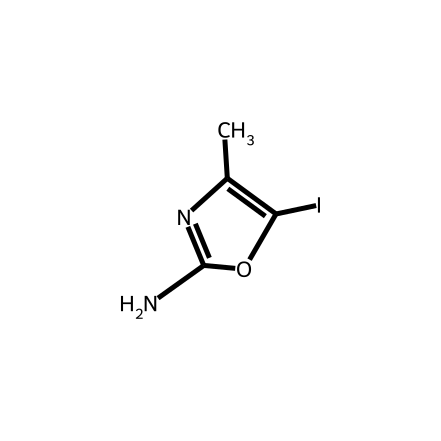 Cc1nc(N)oc1I